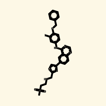 CS(=O)(=O)CCNCc1nc(-c2ccc3ncnc(Nc4ccc(OCc5ccccc5)c(I)c4)c3c2)cs1